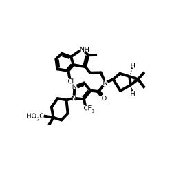 Cc1[nH]c2cccc(Cl)c2c1CCN(C(=O)c1cnn(C2CCC(C)(C(=O)O)CC2)c1C(F)(F)F)C1C[C@@H]2[C@H](C1)C2(C)C